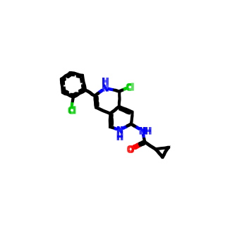 O=C(NC1C=C2C(=CN1)C=C(c1ccccc1Cl)NC2Cl)C1CC1